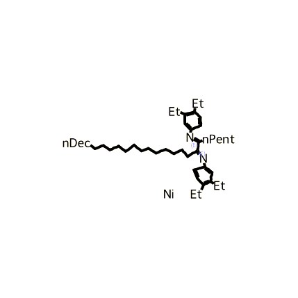 CCCCCCCCCCCCCCCCCCCCCCCC(=N\c1ccc(CC)c(CC)c1)/C(CCCCC)=N/c1ccc(CC)c(CC)c1.[Ni]